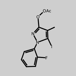 CC(=O)OOc1nn(-c2ccccc2F)c(I)c1C